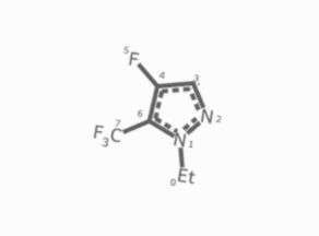 CCn1n[c]c(F)c1C(F)(F)F